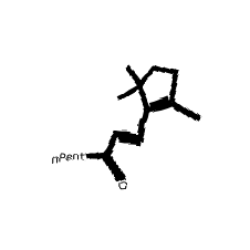 CCCCCC(=O)C=CC1=C(C)CCC1(C)C